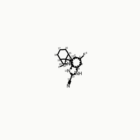 COC1(c2cc(F)cc3[nH]c(C#N)nc23)C2CCCC1CNC2